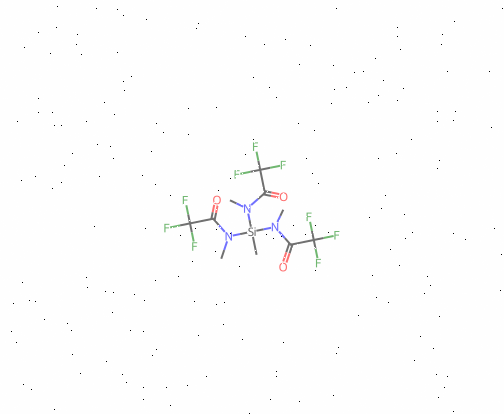 CN(C(=O)C(F)(F)F)[Si](C)(N(C)C(=O)C(F)(F)F)N(C)C(=O)C(F)(F)F